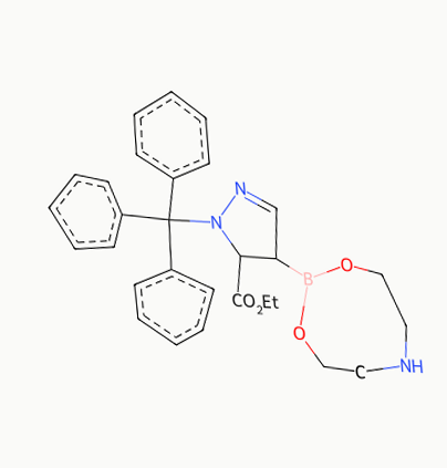 CCOC(=O)C1C(B2OCCNCCO2)C=NN1C(c1ccccc1)(c1ccccc1)c1ccccc1